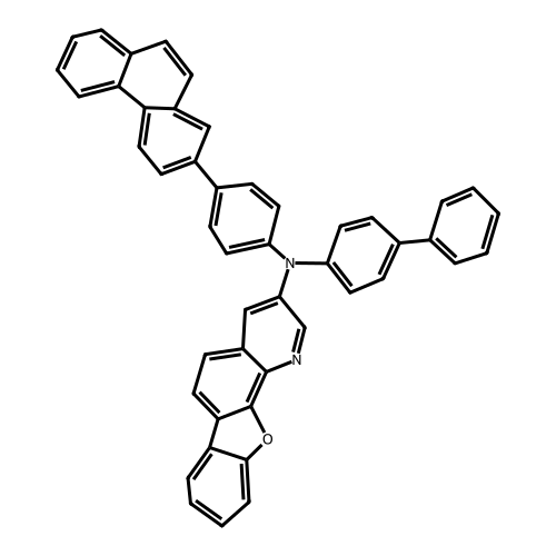 c1ccc(-c2ccc(N(c3ccc(-c4ccc5c(ccc6ccccc65)c4)cc3)c3cnc4c(ccc5c6ccccc6oc54)c3)cc2)cc1